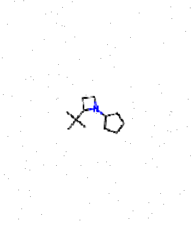 CC(C)(C)C1CCN1C1CCCC1